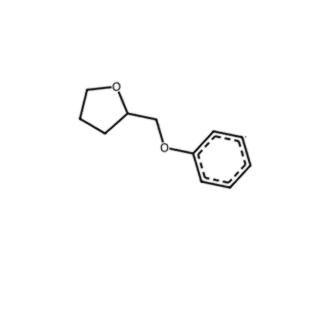 [c]1cccc(OCC2CCCO2)c1